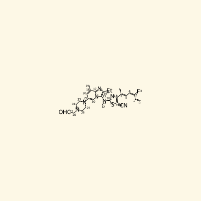 C=C/C(F)=C\C=C(/C)c1nc(N(C)c2c(CC)nc3c(C)cc(N4CCN(CC=O)CC4)cn23)sc1C#N